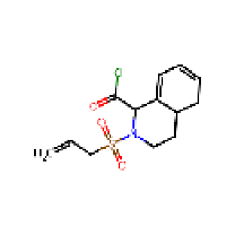 C=CCS(=O)(=O)N1CCC2CC=CC=C2C1C(=O)Cl